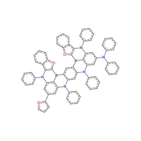 c1ccc(N(c2ccccc2)c2cc3c4c(c2)N(c2ccccc2)c2c(oc5ccccc25)B4c2cc4c(cc2N3c2ccccc2)N(c2ccccc2)c2cc(-c3ccco3)cc3c2B4c2oc4ccccc4c2N3c2ccccc2)cc1